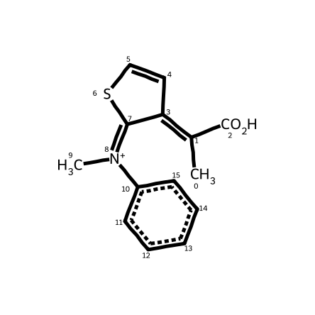 C/C(C(=O)O)=C1/C=CS/C1=[N+](\C)c1ccccc1